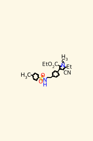 CCOC(=O)c1c(-c2ccc(CCNS(=O)(=O)c3ccc(C)cc3)cc2)c(C#N)c(CC)n1C